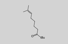 CC(C)=CCCCCC(=O)C(C)(C)C